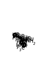 CCC(C)[C@H](NC(=O)Cc1c(F)cccc1F)C(=O)N[C@@]1(OC(=O)NC(C(N)=S)[C@@H](C)CC)CCc2[nH]c3c(C(F)(F)F)cccc3c2C1